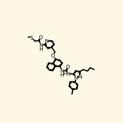 CCCCc1cc(NC(=O)Nc2ccc(OCc3ccnc(NC(=O)CSC)c3)c3ccccc23)n(-c2ccc(C)cc2)n1